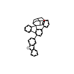 c1ccc(-c2ccc(-c3ccc4oc5ccccc5c4c3)c3c2C2(c4ccccc4-3)C3CC4CC(C3)CC2C4)cc1